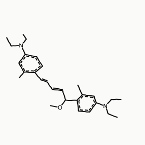 CCN(CC)c1ccc(C=CC=CC(OC)c2ccc(N(CC)CC)cc2C)c(C)c1